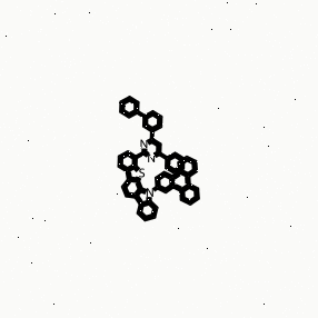 c1ccc(-c2cccc(-c3cc(-c4ccccc4)nc(-c4cccc5c4sc4c5ccc5c6ccccc6n(-c6ccc7c8ccccc8c8ccccc8c7c6)c54)n3)c2)cc1